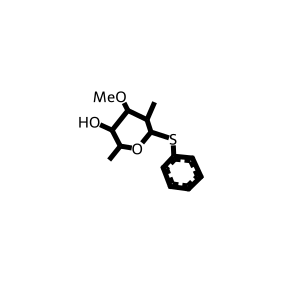 COC1C(C)C(Sc2ccccc2)OC(C)C1O